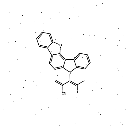 C=C(C#N)C(=C(C)C)n1c2ccccc2c2c3oc4ccccc4c3ccc21